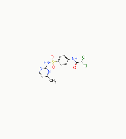 Cc1ccnc(NS(=O)(=O)c2ccc(NC(=O)C(Cl)Cl)cc2)n1